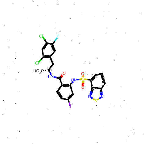 O=C(N[C@@H](Cc1cc(F)c(Cl)cc1Cl)C(=O)O)c1ccc(I)cc1NS(=O)(=O)c1cccc2nsnc12